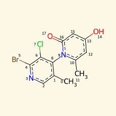 Cc1cnc(Br)c(Cl)c1-n1c(C)cc(O)cc1=O